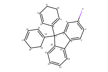 Ic1ccc2c(c1)C(C1=CCCC=C1)(C1=CC=CCC1)c1ccccc1-2